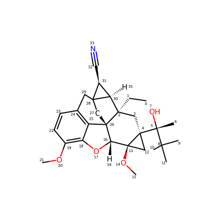 CC[C@]12C[C@]3([C@](C)(O)C(C)(C)C)C[C@]3(OC)[C@@H]3Oc4c(OC)ccc5c4[C@@]31CC1(C5)[C@H]2[C@@H]1C#N